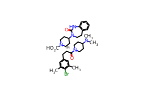 Cc1cc(CC(C(=O)N2CCC(N(C)C)CC2)[C@H]2CC(N3CCc4ccccc4NC3=O)CCN2C(=O)O)cc(C)c1Br